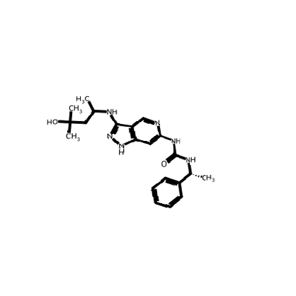 CC(CC(C)(C)O)Nc1n[nH]c2cc(NC(=O)N[C@H](C)c3ccccc3)ncc12